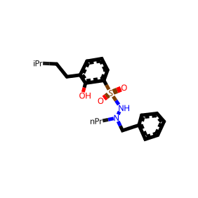 CCCN(Cc1ccccc1)NS(=O)(=O)c1cccc(CCC(C)C)c1O